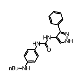 CCCCNc1ccc(NC(=O)Nc2c[nH]nc2-c2ccccc2)cc1